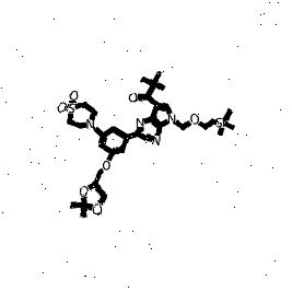 CC1(C)OCC(COc2cc(-c3cnc4c(n3)c(C(=O)C(C)(C)C)cn4COCC[Si](C)(C)C)cc(N3CCS(=O)(=O)CC3)c2)O1